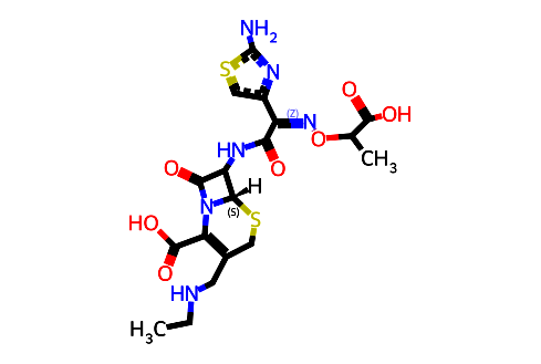 CCNCC1=C(C(=O)O)N2C(=O)C(NC(=O)/C(=N\OC(C)C(=O)O)c3csc(N)n3)[C@@H]2SC1